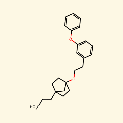 O=C(O)CCC12CCC(OCCc3cccc(Oc4ccccc4)c3)(CC1)C2